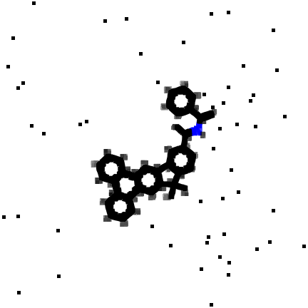 C=C(/N=C(\C)c1ccc2c(c1)-c1cc3c4ccccc4c4ccccc4c3cc1C2(C)C)c1ccccc1